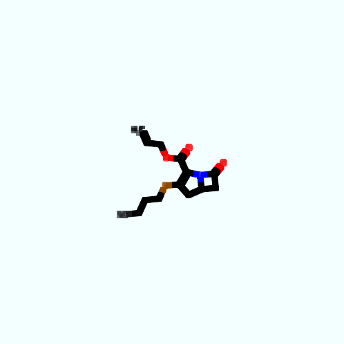 C=CCOC(=O)C1=C(SCCCC#N)CC2CC(=O)N12